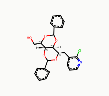 OC[C@H]1OC(c2ccccc2)O[C@@H]2[C@@H]1OC(c1ccccc1)O[C@@H]2Cc1cccnc1Cl